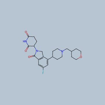 O=C1CCC(N2Cc3c(cc(F)cc3C3CCN(CC4CCOCC4)CC3)C2=O)C(=O)N1